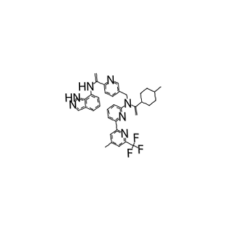 C=C(Nc1cccc2cn[nH]c12)c1ccc(CN(C(=C)C2CCC(C)CC2)c2cccc(-c3cc(C)cc(C(F)(F)F)n3)n2)cn1